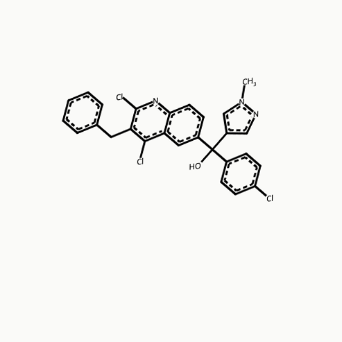 Cn1cc(C(O)(c2ccc(Cl)cc2)c2ccc3nc(Cl)c(Cc4ccccc4)c(Cl)c3c2)cn1